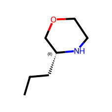 CCC[C@@H]1COCCN1